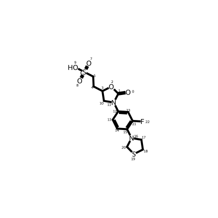 O=C1OC(CCS(=O)(=O)O)CN1c1ccc(N2CCSC2)c(F)c1